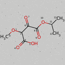 COC(C(=O)O)C(=O)C(=O)OC(C)C